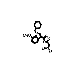 CCN(CC)Cc1nnc(-c2cn(CC3CCCCC3)c3c(OC)cccc23)o1